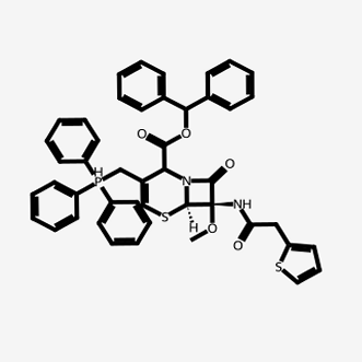 CO[C@@]1(NC(=O)Cc2cccs2)C(=O)N2C(C(=O)OC(c3ccccc3)c3ccccc3)C(C[PH](c3ccccc3)(c3ccccc3)c3ccccc3)=CS[C@@H]21